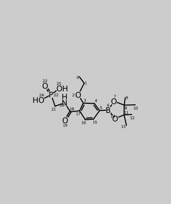 CCOc1cc(B2OC(C)(C)C(C)(C)O2)ccc1C(=O)NCP(=O)(O)O